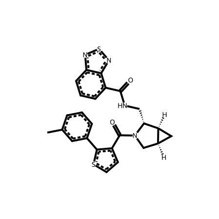 Cc1cccc(-c2sccc2C(=O)N2C[C@@H]3C[C@@H]3[C@H]2CNC(=O)c2cccc3nsnc23)c1